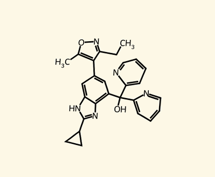 CCc1noc(C)c1-c1cc(C(O)(c2ccccn2)c2ccccn2)c2nc(C3CC3)[nH]c2c1